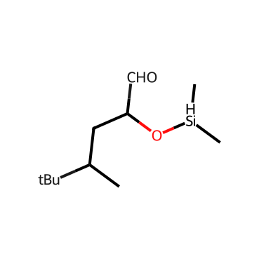 CC(CC(C=O)O[SiH](C)C)C(C)(C)C